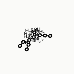 Bc1c(B)c(B)c2c(c1B)c1c(B)c(-c3ccc4c(c3)c3ccc(-c5ccccc5)cc3n4-c3cccc(-c4ccccc4)c3)c(B)c(B)c1n2-c1ccc(-c2ccc(-c3ccccc3)cc2)cc1